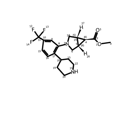 COC(=O)[C@H]1[C@@H]2CN(c3cc(C(F)(F)F)ccc3C3CCNCC3)C[C@@H]21